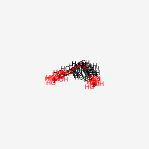 C=C(C)C(=O)O.C=C(C)C(=O)O.C=C(C)C(=O)O.C=CC(=O)O.C=CC(=O)O.C=CC(=O)O.C=CC(=O)O.C=CC(=O)O.C=CC(=O)O.C=CC(=O)O.C=CC(=O)O.CCC(CO)(CO)CO.OCC(CO)(CO)CO.OCC(CO)(CO)CO.OCC(CO)(CO)COCC(CO)(CO)CO